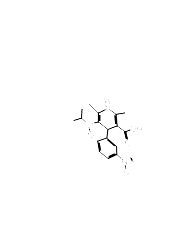 CC1=C(C(=O)O)C(c2cccc([N+](=O)[O-])c2)C([S+]([O-])C(C)C)=C(C)N1